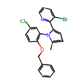 Cc1ccc(-c2ncccc2Br)n1-c1cc(Cl)ccc1OCc1ccccc1